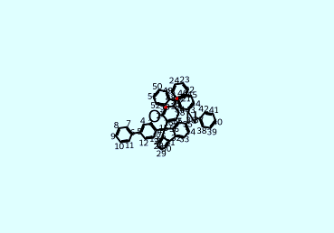 C1=C2Oc3cc(-c4ccccc4)ccc3C3(C2=CCC1c1ccccc1)c1ccccc1-c1ccc(N(c2ccccc2)c2cccc(-c4ccccc4)c2)cc13